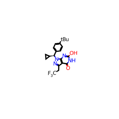 CC(C)(C)c1ccc([C@H](C2CC2)n2nc(CC(F)(F)F)c3c(=O)[nH]c(O)nc32)cc1